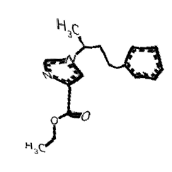 CCOC(=O)c1cn([C@@H](C)CCc2ccccc2)cn1